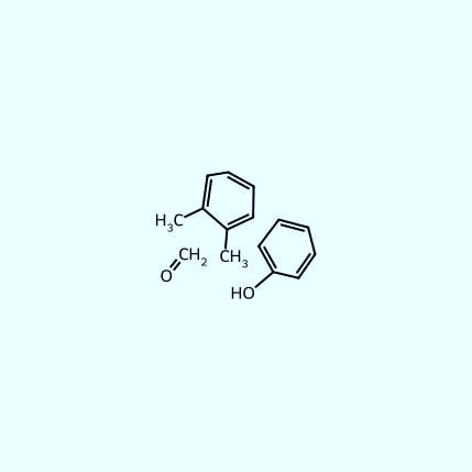 C=O.Cc1ccccc1C.Oc1ccccc1